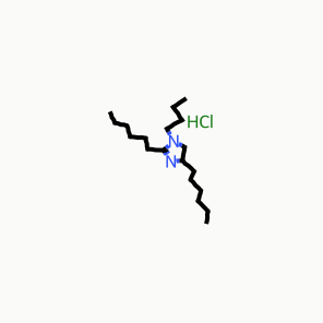 CCCCCCC1=NC(CCCCCC)CN1CCCC.Cl